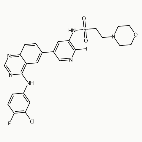 O=S(=O)(CCN1CCOCC1)Nc1cc(-c2ccc3ncnc(Nc4ccc(F)c(Cl)c4)c3c2)cnc1I